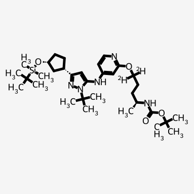 [2H]C([2H])(CC[C@H](C)NC(=O)OC(C)(C)C)Oc1cc(Nc2cc([C@H]3CC[C@@H](O[Si](C)(C)C(C)(C)C)C3)nn2C(C)(C)C)ccn1